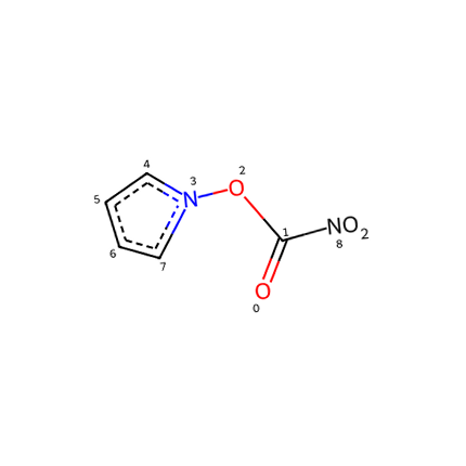 O=C(On1cccc1)[N+](=O)[O-]